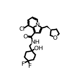 O=C(NCC1(O)CCC(F)(F)CC1)c1cc(C[C@H]2CCOC2)n2cccc(Cl)c12